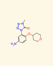 Cn1nnn(-c2cc(N)ccc2OC2CCOCC2)c1=O